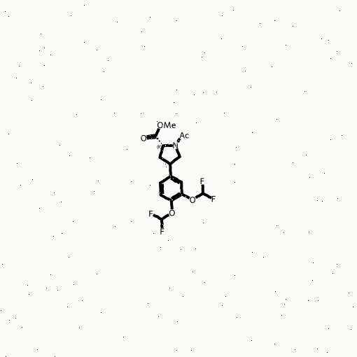 COC(=O)[C@H]1CC(c2ccc(OC(F)F)c(OC(F)F)c2)CN1C(C)=O